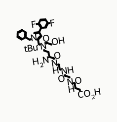 CC(C)(C)[C@H](c1cc(-c2cc(F)ccc2F)cn1Cc1ccccc1)N(CC[C@H](N)C(=O)NCCNC(=O)CNC(=O)CCC(=O)O)C(=O)CO